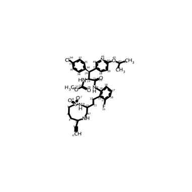 C#CC1CCCS(=O)(=O)NC(CCc2c(F)cccc2NC(=O)[C@@H](NC(=O)OC)[C@@H](c2ccc(Cl)cc2)c2ccc(OC(C)C)nc2)CN1